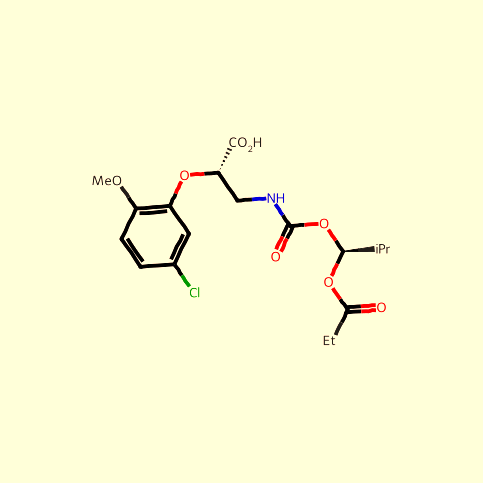 CCC(=O)O[C@@H](OC(=O)NC[C@H](Oc1cc(Cl)ccc1OC)C(=O)O)C(C)C